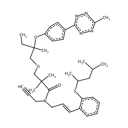 C#CCN(C/C=C/c1ccccc1SC(C)CC(C)C)C(=O)C(C)(C)COCC(C)(CC)Oc1ccc(-c2nnc(C)nn2)cc1